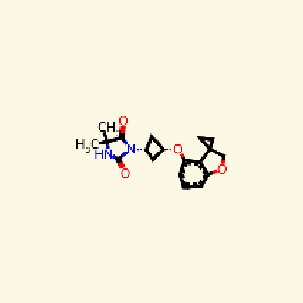 CC1(C)NC(=O)N([C@H]2C[C@@H](Oc3cccc4c3C3(CC3)CO4)C2)C1=O